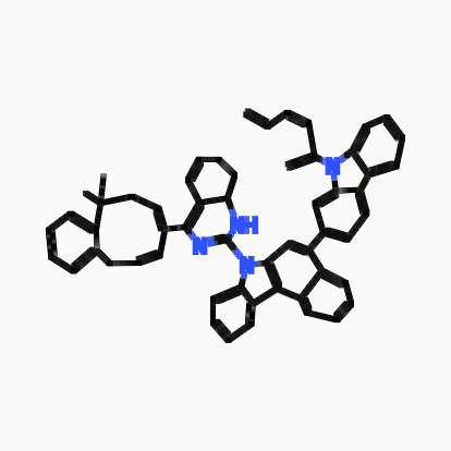 C=C/C=C\C(=C)n1c2ccccc2c2ccc(-c3cc4c(c5ccccc35)c3ccccc3n4C3=NC(C4=C/CC(C)(C)c5ccccc5C/C=C\4)=C4C=CCCC4N3)cc21